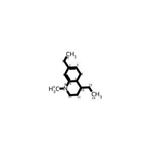 CCC1=CCC2C(=C1)N(C)CCC2CC